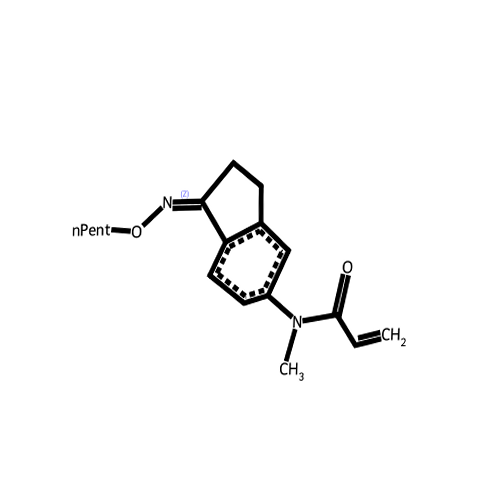 C=CC(=O)N(C)c1ccc2c(c1)CC/C2=N/OCCCCC